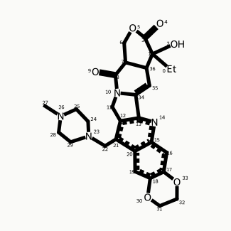 CCC1(O)C(=O)OCC2C(=O)N3Cc4c(nc5cc6c(cc5c4CN4CCN(C)CC4)OCCO6)C3=CC21